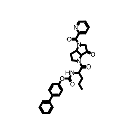 CCCC(NC(=O)Oc1ccc(-c2ccccc2)cc1)C(=O)N1CCC2C1C(=O)CN2C(=O)c1ccccn1